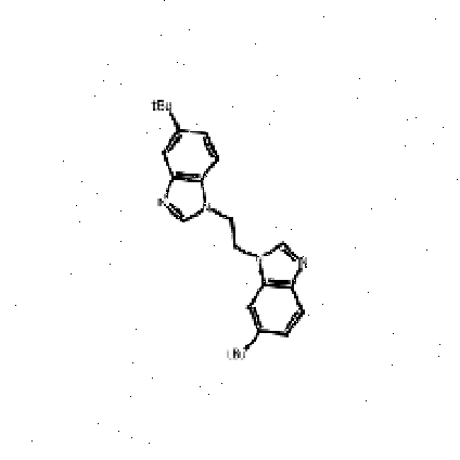 CC(C)(C)c1ccc2c(c1)ncn2CCn1cnc2ccc(C(C)(C)C)cc21